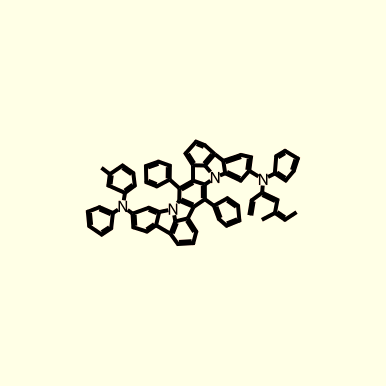 C=C/C(=C\C(C)=C/C)N(c1ccccc1)c1ccc2c3cccc4c5c(-c6ccccc6)c6c(c(-c7ccccc7)c5n(c2c1)c34)c1cccc2c3ccc(N(c4ccccc4)c4cccc(C)c4)cc3n6c21